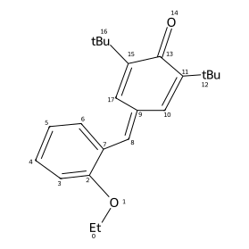 CCOc1ccccc1C=C1C=C(C(C)(C)C)C(=O)C(C(C)(C)C)=C1